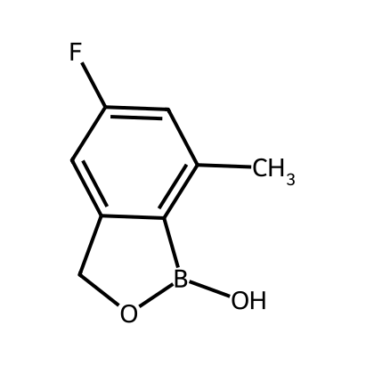 Cc1cc(F)cc2c1B(O)OC2